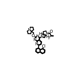 C=C(F)C(=O)N1CC[C@@H]2[C@H]1CN2c1nc(OCC23CCCN2CCC3)nc2nc(-c3cccc4cccc(Cl)c34)ccc12